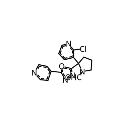 O=CN1CCCC1(c1nnc(-c2ccncc2)o1)c1cccnc1Cl